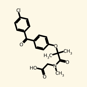 CN(CC(=O)O)C(=O)C(C)(C)Oc1ccc(C(=O)c2ccc(Cl)cc2)cc1